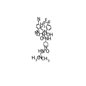 CC1=C(c2ccnn2-c2ccc(C#N)cc2)N(C(=O)NC2CCN(C(=O)NCCN(C)C)CC2)C(O)N1c1cccc(C(F)(F)F)c1